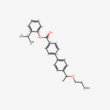 CCCCCCCCCCCCOC(C)c1ccc(-c2ccc(C(=O)Oc3ccccc3C(CC)CCC)cc2)cc1